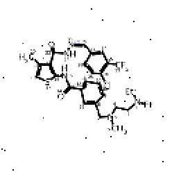 CCN(CC)CCN(C)Cc1cccc(C(=O)Nc2scc(C)c2C(=O)N/N=C\c2ccc(Cl)c(C(F)(F)F)c2)c1